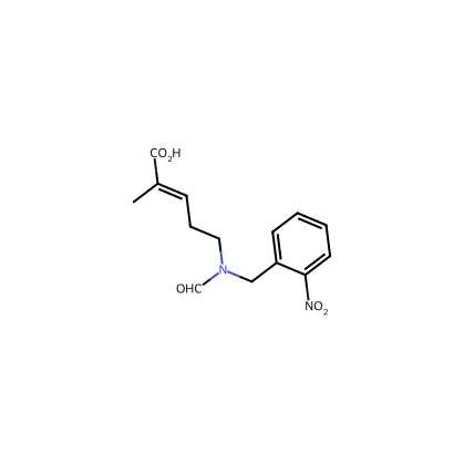 CC(=CCCN(C=O)Cc1ccccc1[N+](=O)[O-])C(=O)O